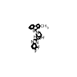 Cc1ccc(-c2ccccc2)c(C(=O)N2CC[C@H]3CN(c4cnc5ccc(F)c(F)c5n4)[C@H]3C2)c1